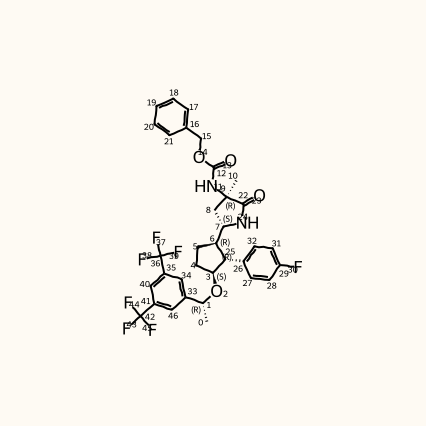 C[C@@H](O[C@H]1CC[C@@H]([C@@H]2C[C@@](C)(NC(=O)OCc3ccccc3)C(=O)N2)[C@@H]1c1ccc(F)cc1)c1cc(C(F)(F)F)cc(C(F)(F)F)c1